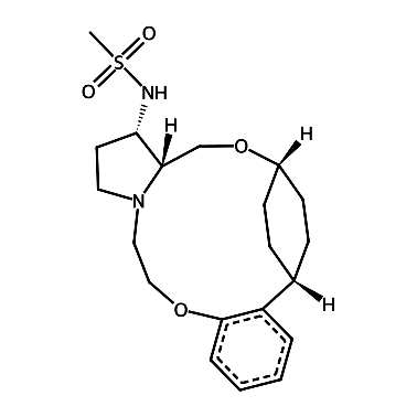 CS(=O)(=O)N[C@H]1CCN2CCOc3ccccc3[C@H]3CC[C@H](CC3)OC[C@@H]12